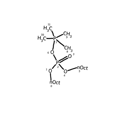 CCCCCCCCOP(=O)(OCCCCCCCC)OP(C)(C)(C)C